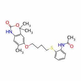 CC(=O)Nc1ccccc1SCCCCOc1cc2c(cc1C)NC(=O)OC2(C)C